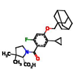 CC1(C)CCN(C(=O)c2cc(C3CC3)c(OCC34CC5CC(CC(C5)C3)C4)cc2F)[C@@H]1C(=O)O